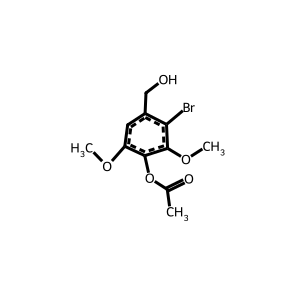 COc1cc(CO)c(Br)c(OC)c1OC(C)=O